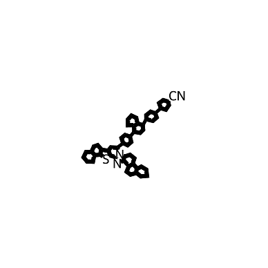 N#Cc1ccc(-c2ccc(-c3ccc(-c4ccc(-c5cc6c7ccc8ccccc8c7sc6c6nc7c8ccc9ccccc9c8ccc7n56)cc4)c4ccccc34)cc2)cc1